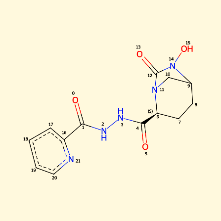 O=C(NNC(=O)[C@@H]1CCC2CN1C(=O)N2O)c1ccccn1